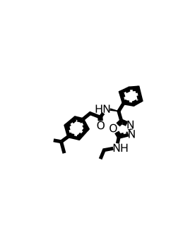 CCNc1nnc([C@@H](NC(=O)Cc2ccc(C(C)C)cc2)c2ccccc2)o1